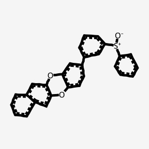 [O-][S+](c1ccccc1)c1cccc(-c2ccc3c(c2)Oc2cc4ccccc4cc2O3)c1